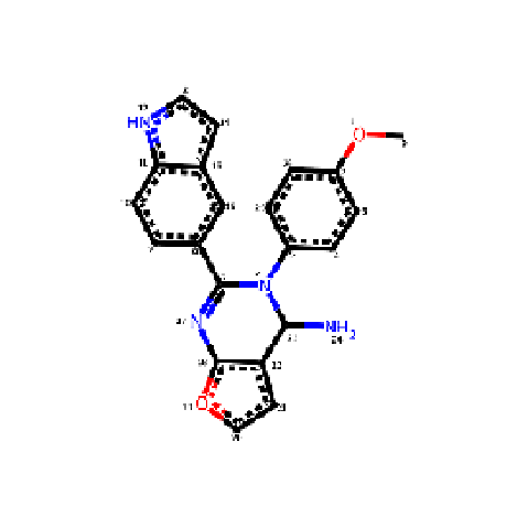 COc1ccc(N2C(c3ccc4[nH]ccc4c3)=Nc3occc3C2N)cc1